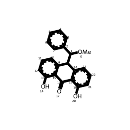 COC(c1ccccc1)C1c2cccc(O)c2C(=O)c2c(O)cccc21